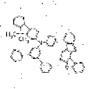 CC1(C)c2ccccc2-c2ccc(N(c3ccc(-c4cccc5sc6c(ccc7sc8ccccc8c76)c45)cc3)c3cc(-c4ccccc4)cc(-c4ccccc4)c3)cc21